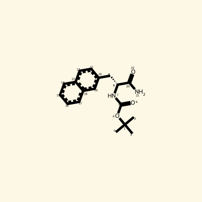 CC(C)(C)OC(=O)N[C@H](Cc1ccc2ccccc2c1)C(N)=O